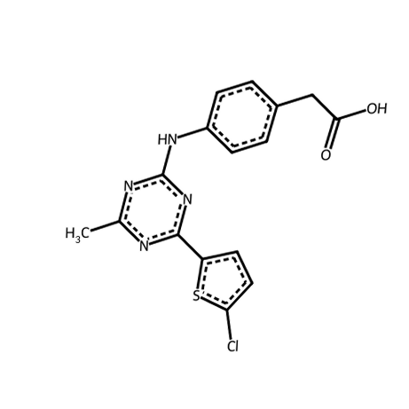 Cc1nc(Nc2ccc(CC(=O)O)cc2)nc(-c2ccc(Cl)s2)n1